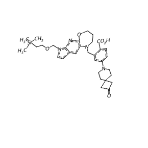 C[Si](C)(C)CCOCn1ccc2cc3c(nc21)OCCCN3Cc1cc(N2CCC3(CC2)CC(=O)C3)ccc1C(=O)O